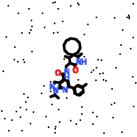 Cc1cccc(-c2cc(C(=O)NCC3C(=O)NC(C)C4(CCCCCCCCC4)C3C)c3cnn(C(C)C)c3n2)c1